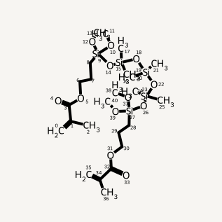 C=C(C)C(=O)OCCC[Si](OC)(OC)O[Si](C)(C)O[Si](C)(C)O[Si](C)(C)O[Si](CCCOC(=O)C(=C)C)(OC)OC